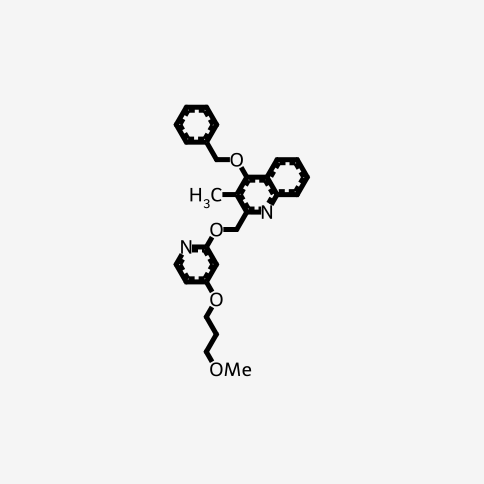 COCCCOc1ccnc(OCc2nc3ccccc3c(OCc3ccccc3)c2C)c1